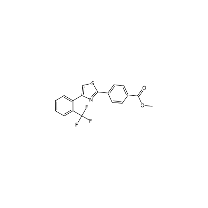 COC(=O)c1ccc(-c2nc(-c3ccccc3C(F)(F)F)cs2)cc1